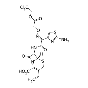 C=CC1=C(C(=O)O)N2C(=O)C(NC(=O)C(=NOCC(=O)OCC(Cl)(Cl)Cl)c3csc(N)n3)[C@@H]2SC1